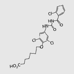 O=C(O)CCCCCCOc1c(Cl)cc(NC(=O)NC(=O)c2ccccc2Cl)cc1Cl